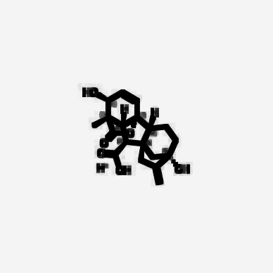 C=C1C[C@]23C[C@@]1(O)CC[C@H]2[C@@]12C=C[C@H](O)[C@@](C)(C(=O)O1)[C@H]2[C@@H]3C(=O)O.[H+]